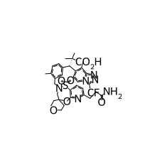 Cc1ccc([C@@H](c2ccn3c(C(F)(F)F)nnc3c2C)C(C)(C)C(=O)O)cc1CN1CC2(CCOCC2)Oc2nc(CCC(N)=O)ccc2S1(=O)=O